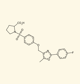 Cc1oc(-c2ccc(F)cc2)nc1COc1ccc(S(=O)(=O)N2CCCC2C(=O)O)cc1